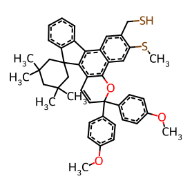 COc1ccc(C2(c3ccc(OC)cc3)C=Cc3c4c(c5cc(CS)c(SC)cc5c3O2)-c2ccccc2C42CC(C)(C)CC(C)(C)C2)cc1